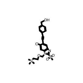 C[Si](C)(C)CCOCn1c(S(C)(=O)=O)nc2cc(C#Cc3ccc(CO)cc3)c(Cl)cc21